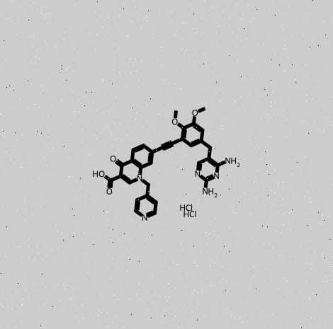 COc1cc(Cc2cnc(N)nc2N)cc(C#Cc2ccc3c(=O)c(C(=O)O)cn(Cc4ccncc4)c3c2)c1OC.Cl.Cl